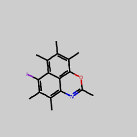 CC1=Nc2c(C)c(C)c(I)c3c(C)c(C)c(C)c(c23)O1